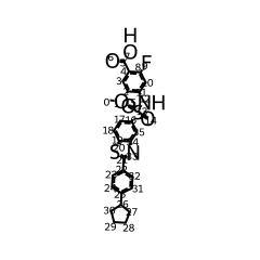 COc1cc(C(=O)O)c(F)cc1NS(=O)(=O)c1ccc2sc(-c3ccc(C4CCCC4)cc3)nc2c1